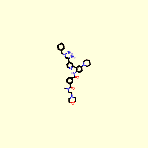 CN(CCN1CCOCC1)C(=O)c1cccc(C(=O)Nc2ccc(N3CCCCC3)cc2-c2cc(/C(N)=C/N(N)Cc3ccccc3)ccn2)c1